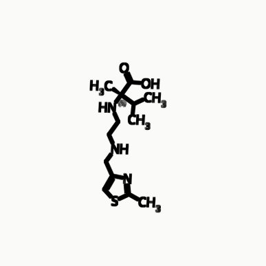 Cc1nc(CNCCN[C@](C)(C(=O)O)C(C)C)cs1